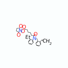 C=Cc1ccccc1CN(C(=O)CCCCC(=O)ON1C(=O)CCC1=O)c1ccccc1CC